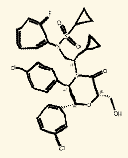 O=C1[C@H](CO)O[C@H](c2cccc(Cl)c2)[C@@H](c2ccc(Cl)cc2)N1[C@@H](CN(c1ccccc1F)S(=O)(=O)C1CC1)C1CC1